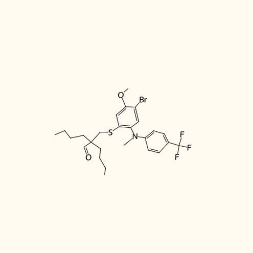 CCCCC(C=O)(CCCC)CSc1cc(OC)c(Br)cc1N(C)c1ccc(C(F)(F)F)cc1